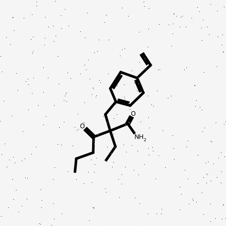 C=Cc1ccc(CC(CC)(C(N)=O)C(=O)CCC)cc1